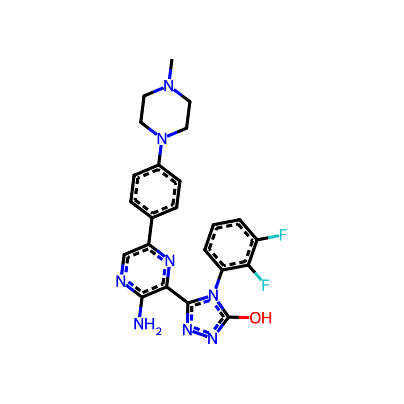 CN1CCN(c2ccc(-c3cnc(N)c(-c4nnc(O)n4-c4cccc(F)c4F)n3)cc2)CC1